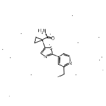 CCc1cc(-c2ncc(C3(C(N)=O)CC3)s2)ccn1